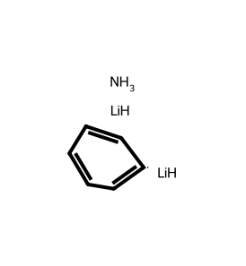 N.[LiH].[LiH].[c]1ccccc1